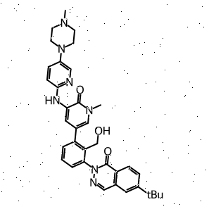 CN1CCN(c2ccc(Nc3cc(-c4cccc(-n5ncc6cc(C(C)(C)C)ccc6c5=O)c4CO)cn(C)c3=O)nc2)CC1